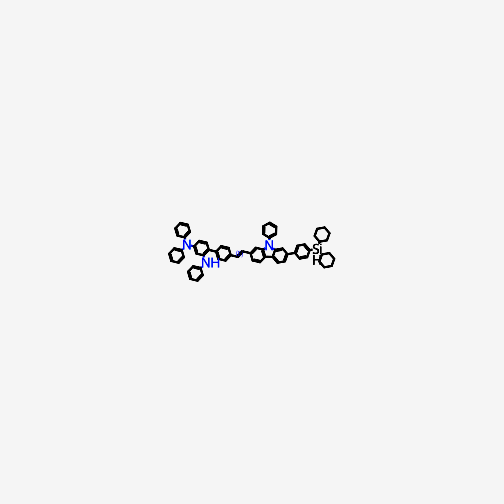 C(=C\c1ccc2c3ccc(-c4ccc([SiH](C5CCCCC5)C5CCCCC5)cc4)cc3n(-c3ccccc3)c2c1)/c1ccc(-c2ccc(N(c3ccccc3)c3ccccc3)cc2Nc2ccccc2)cc1